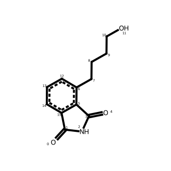 O=C1NC(=O)c2c(CCCCO)cccc21